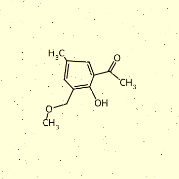 COCc1cc(C)cc(C(C)=O)c1O